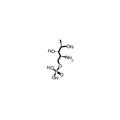 C[C@@H](O)[C@@H](O)[C@@H](N)COP(=O)(O)O